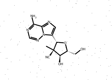 C[C@@]1(C#N)[C@H](O)[C@@H](CO)O[C@H]1c1cnc2c(N)ncnn12